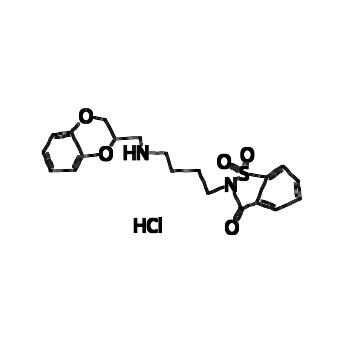 Cl.O=C1c2ccccc2S(=O)(=O)N1CCCCNCC1COc2ccccc2O1